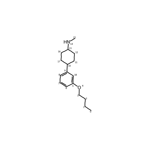 CCCCOc1cccc(C2CCC(NC)CC2)c1